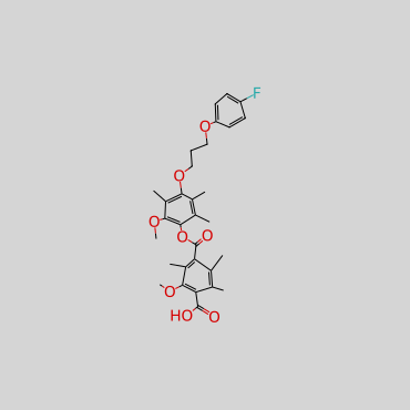 COc1c(C)c(OCCCOc2ccc(F)cc2)c(C)c(C)c1OC(=O)c1c(C)c(C)c(C(=O)O)c(OC)c1C